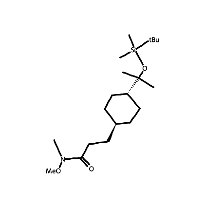 CON(C)C(=O)CC[C@H]1CC[C@H](C(C)(C)O[Si](C)(C)C(C)(C)C)CC1